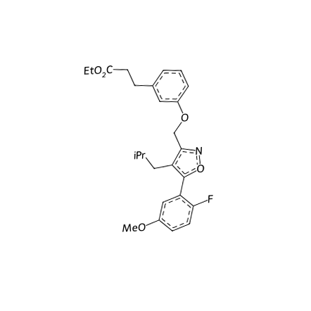 CCOC(=O)CCc1cccc(OCc2noc(-c3cc(OC)ccc3F)c2CC(C)C)c1